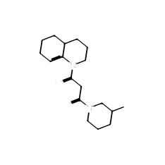 CC1CCCN(C(=O)CC(=O)N2CCCC3CCCC=C32)C1